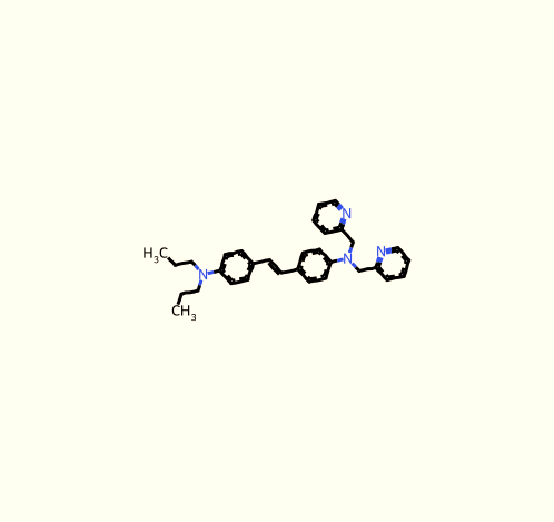 CCCN(CCC)c1ccc(C=Cc2ccc(N(Cc3ccccn3)Cc3ccccn3)cc2)cc1